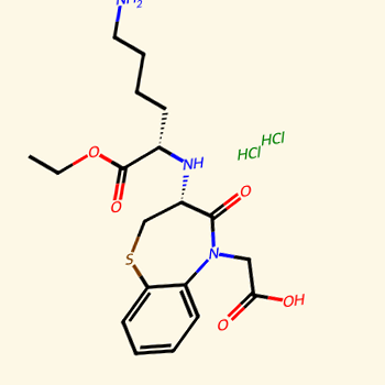 CCOC(=O)[C@H](CCCCN)N[C@H]1CSc2ccccc2N(CC(=O)O)C1=O.Cl.Cl